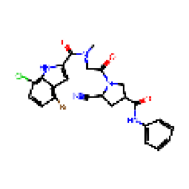 CN(CC(=O)N1CC(C(=O)Nc2ccccc2)CC1C#N)C(=O)c1cc2c(Br)ccc(Cl)c2[nH]1